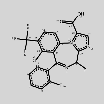 CC1N=C(c2ncccc2F)c2c(ccc(C(F)(F)F)c2Cl)-n2c(C(=O)O)cnc21